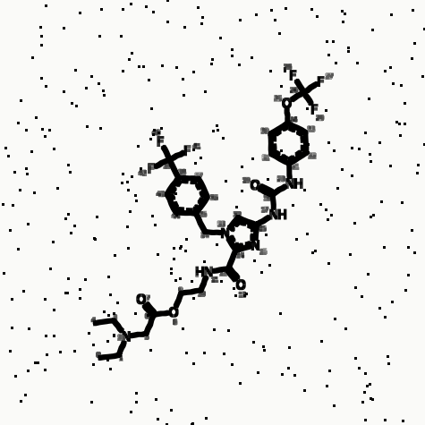 CCN(CC)CC(=O)OCCNC(=O)c1nc(NC(=O)Nc2ccc(OC(F)(F)F)cc2)cn1Cc1ccc(C(F)(F)F)cc1